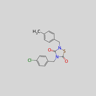 Cc1ccc(Cn2sc(=O)n(Cc3ccc(Cl)cc3)c2=O)cc1